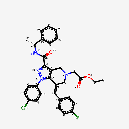 CCOC(=O)CN1CC(=Cc2ccc(F)cc2)c2c(c(C(=O)N[C@H](C)c3ccccc3)nn2-c2ccc(Cl)cc2)C1